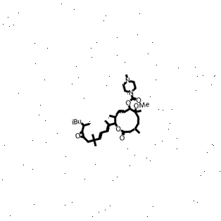 CCC(C)C(C)C1OC1CC(C)(C)/C=C/C=C(\C)C1OC(=O)CC(C)CCC(C)(OC)C(OC(=O)N2CCN(C)CC2)/C=C/C1C